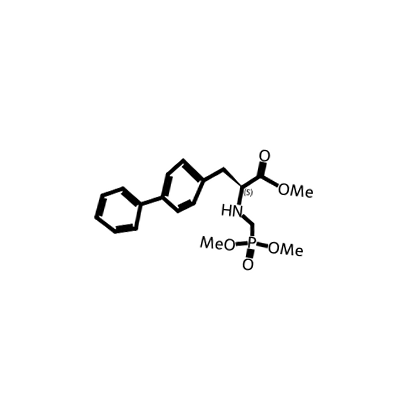 COC(=O)[C@H](Cc1ccc(-c2ccccc2)cc1)NCP(=O)(OC)OC